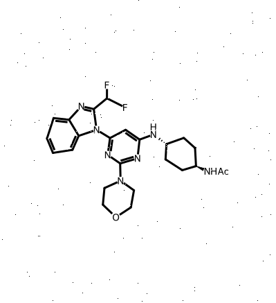 CC(=O)N[C@H]1CC[C@H](Nc2cc(-n3c(C(F)F)nc4ccccc43)nc(N3CCOCC3)n2)CC1